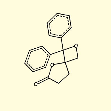 O=C1CCC2(COC2(c2ccccc2)c2ccccc2)O1